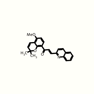 COc1ccc(C(=O)C=Cc2ccc3ccccc3n2)c2c1C=CC(C)(C)O2